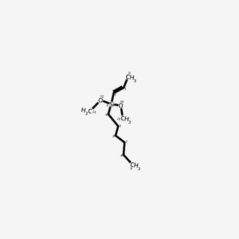 CC=C[Si](CCCCCC)(OC)OC